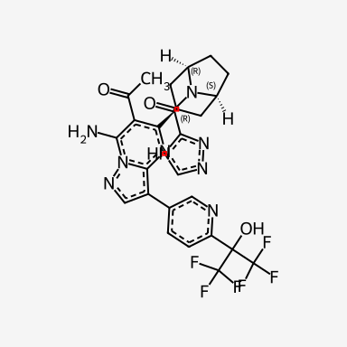 CC(=O)c1c([C@H]2C[C@H]3CC[C@@H](C2)N3C(=O)c2nnc[nH]2)nc2c(-c3ccc(C(O)(C(F)(F)F)C(F)(F)F)nc3)cnn2c1N